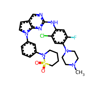 CN1CCN(c2cc(Cl)c(Nc3ncc4ccn(-c5cccc(N6CCCCS6(=O)=O)c5)c4n3)cc2F)CC1